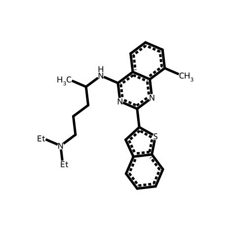 CCN(CC)CCCC(C)Nc1nc(-c2cc3ccccc3s2)nc2c(C)cccc12